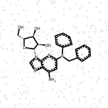 Nc1cc(N(Cc2ccccc2)c2ccccc2)nc2c1ncn2[C@@H]1O[C@H](CO)[C@@H](O)[C@H]1O